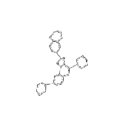 c1ccc(-c2ccc3cc(-c4ccccc4)n4nc(-c5ccc6ccccc6c5)cc4c3c2)cc1